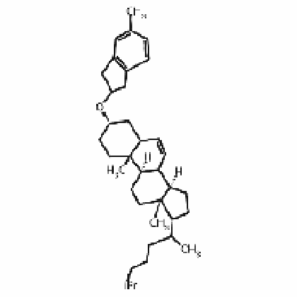 Cc1ccc2c(c1)CC(O[C@@H]1CC[C@]3(C)C(C=CC4[C@H]5CC[C@@H](C(C)CCCC(C)C)[C@]5(C)CC[C@H]43)C1)C2